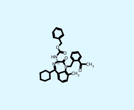 CC(=O)c1ccccc1CN1C(=O)[C@@H](NC(=O)OCc2ccccc2)N=C(C2CCCCC2)c2cccc(C)c21